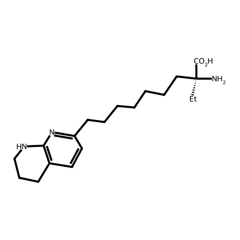 CC[C@](N)(CCCCCCCc1ccc2c(n1)NCCC2)C(=O)O